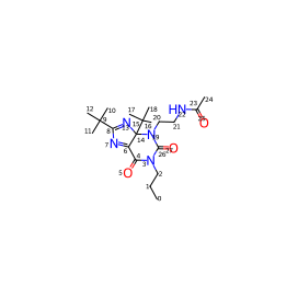 CCCN1C(=O)C2=NC(C(C)(C)C)=NC2(C(C)(C)C)N(CCNC(C)=O)C1=O